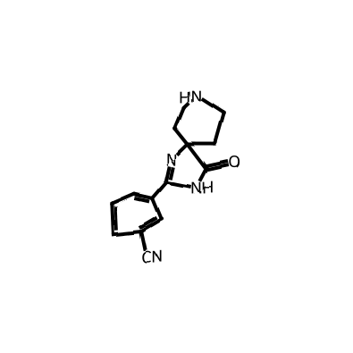 N#Cc1cccc(C2=NC3(CCNCC3)C(=O)N2)c1